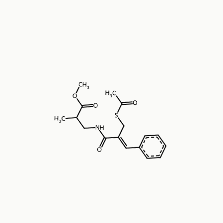 COC(=O)C(C)CNC(=O)C(=Cc1ccccc1)CSC(C)=O